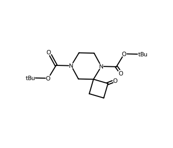 CC(C)(C)OC(=O)N1CCN(C(=O)OC(C)(C)C)C2(CCC2=O)C1